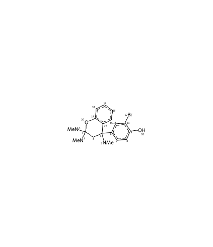 CNC1(NC)CC(NC)(c2ccc(O)c(Br)c2)c2ccccc2O1